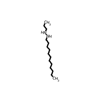 CCCCCCCCCCCCNNCCC